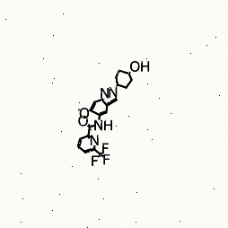 COc1cc2nn([C@H]3CC[C@H](O)CC3)cc2cc1NC(=O)c1cccc(C(F)(F)F)n1